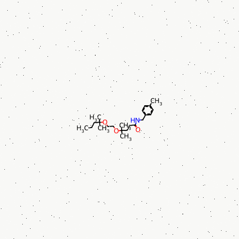 CCCC(C)(C)OCCOC(C)(C)CCC(=O)NCc1ccc(C)cc1